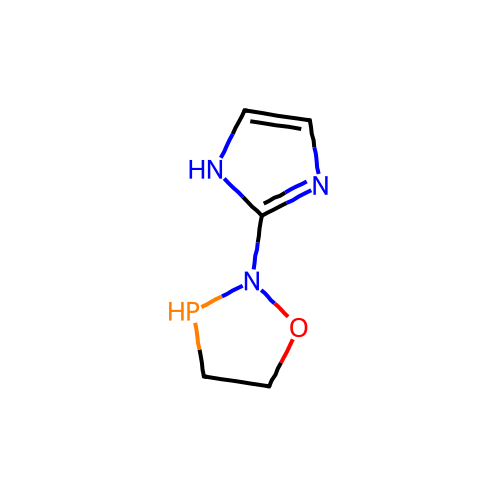 c1c[nH]c(N2OCCP2)n1